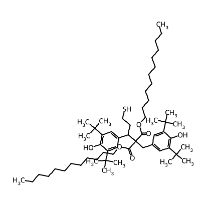 CCCCCCCCCCCCOC(=O)C(Cc1cc(C(C)(C)C)c(O)c(C(C)(C)C)c1)(C(=O)OCCCCCCCCCCCC)C(CCS)c1cc(C(C)(C)C)c(O)c(C(C)(C)C)c1